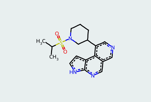 CC(C)S(=O)(=O)N1CCCC(c2cncc3cnc4[nH]ccc4c23)C1